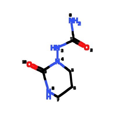 NC(=O)NN1CCCNC1=O